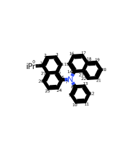 CC(C)c1cccc2c(N(c3ccccc3)c3cccc4ccccc34)cccc12